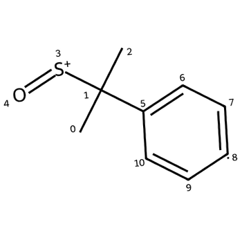 CC(C)([S+]=O)c1cc[c]cc1